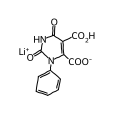 O=C(O)c1c(C(=O)[O-])n(-c2ccccc2)c(=O)[nH]c1=O.[Li+]